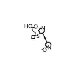 COc1cc(C#Cc2cnccc2SC2(CCC(=O)O)CCC2)ccn1